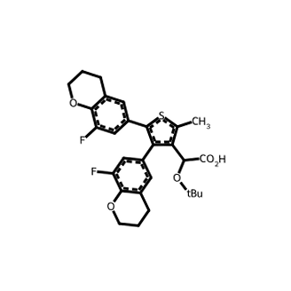 Cc1sc(-c2cc(F)c3c(c2)CCCO3)c(-c2cc(F)c3c(c2)CCCO3)c1C(OC(C)(C)C)C(=O)O